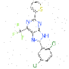 FC(F)(F)c1nc(-c2cccs2)nc2[nH]c(-c3cc(Cl)ccc3Cl)nc12